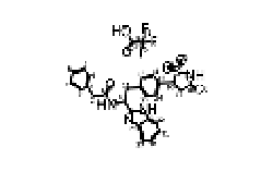 O=C(Cc1ccccc1)N[C@@H](Cc1ccc(C2CC(=O)NS2(=O)=O)cc1)c1nc2ccccc2[nH]1.O=C(O)C(F)(F)F